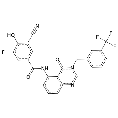 N#Cc1cc(C(=O)Nc2cccc3ncn(Cc4cccc(C(F)(F)F)c4)c(=O)c23)cc(F)c1O